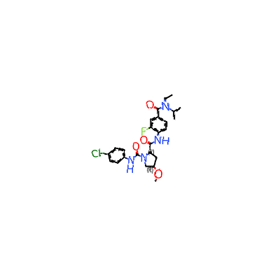 CCN(C(=O)c1ccc(NC(=O)[C@H]2C[C@@H](OC)CN2C(=O)Nc2ccc(Cl)cc2)c(F)c1)C(C)C